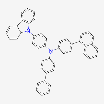 C1=CC2c3ccccc3N(c3ccc(N(c4ccc(-c5ccccc5)cc4)c4ccc(-c5cccc6ccccc56)cc4)cc3)C2C=C1